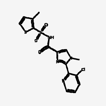 Cc1ccsc1S(=O)(=O)NC(=O)c1cn(C)c(-c2ncccc2Cl)n1